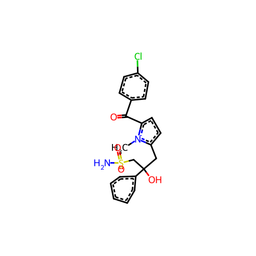 Cn1c(CC(O)(CS(N)(=O)=O)c2ccccc2)ccc1C(=O)c1ccc(Cl)cc1